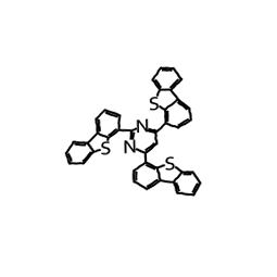 c1ccc2c(c1)sc1c(-c3cc(-c4cccc5c4sc4ccccc45)nc(-c4cccc5c4sc4ccccc45)n3)cccc12